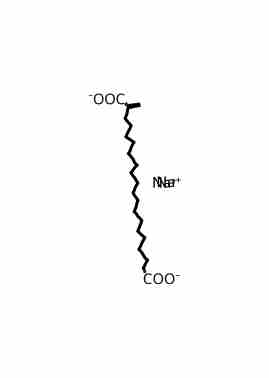 C=C(CCCCCCCCCCCCCCCCCC(=O)[O-])C(=O)[O-].[Na+].[Na+]